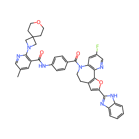 Cc1cnc(N2CC3(CCOCC3)C2)c(C(=O)Nc2ccc(C(=O)N3CCc4cc(-c5nc6ccccc6[nH]5)oc4-c4ncc(F)cc43)cc2)c1